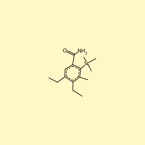 CCc1cc(C(N)=O)c([Si](C)(C)C)c(C)c1CC